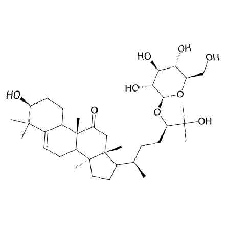 C[C@H](CC[C@@H](O[C@@H]1O[C@H](CO)[C@@H](O)[C@H](O)[C@H]1O)C(C)(C)O)C1CC[C@@]2(C)C3CC=C4C(CC[C@H](O)C4(C)C)[C@]3(C)C(=O)C[C@]12C